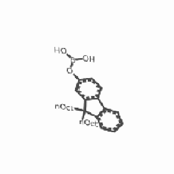 CCCCCCCCC1(CCCCCCCC)c2ccccc2-c2ccc(OB(O)O)cc21